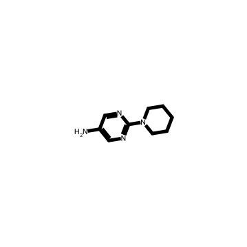 Nc1cnc(N2CCCCC2)nc1